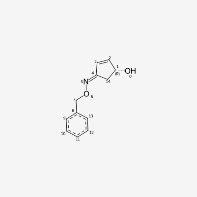 O[C@H]1C=CC(=NOCc2ccccc2)C1